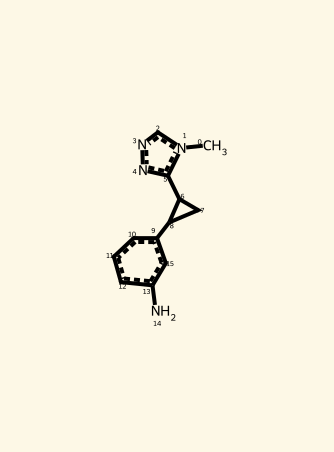 Cn1cnnc1C1CC1c1cccc(N)c1